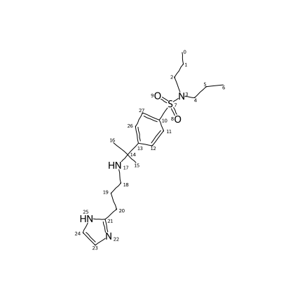 CCCN(CCC)S(=O)(=O)c1ccc(C(C)(C)NCCCc2ncc[nH]2)cc1